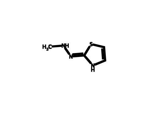 CNN=c1[nH]ccs1